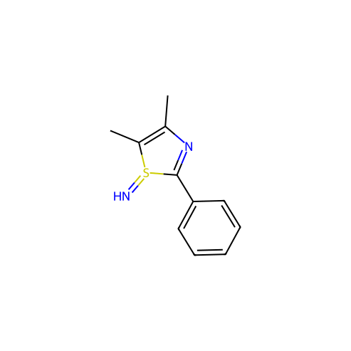 CC1=C(C)S(=N)C(c2ccccc2)=N1